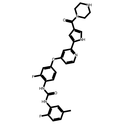 Cc1ccc(F)c(NC(=O)Nc2ccc(Oc3ccnc(-c4cc(C(=O)N5CCNCC5)c[nH]4)c3)cc2F)c1